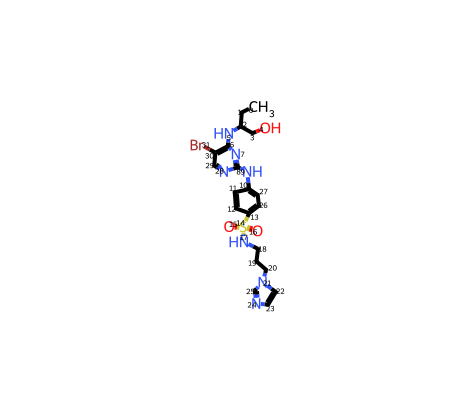 CCC(CO)Nc1nc(Nc2ccc(S(=O)(=O)NCCCn3ccnc3)cc2)ncc1Br